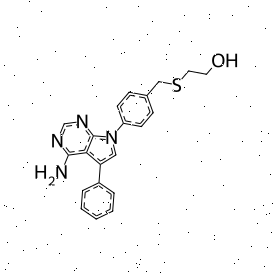 Nc1ncnc2c1c(-c1ccccc1)cn2-c1ccc(CSCCO)cc1